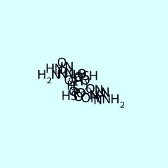 CC12OP(=O)(S)OC[C@H]3O[C@@H](n4cnc5c(=O)[nH]c(N)nc54)[C@@H](OP(=O)(S)OC[C@@]1(C)O[C@@H](n1cnc4c(N)ncnc41)[C@@H]2O)[C@@H]3F